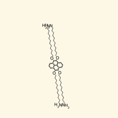 NCCCCCCCCCCCCOc1c(OCCCCCCCCCCCCN)c2cccc3c(OCCCCCCCCCCCCN)c(OCCCCCCCCCCCCN)c4cccc1c4c23